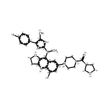 CN(c1nc(-c2ccc(F)cc2)c(C#N)s1)c1c2c(nc3c(F)cc(N4CCN(C(=O)[C@H]5CCOC5)CC4)cc13)CCO2